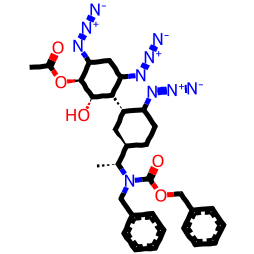 CC(=O)O[C@H]1C(N=[N+]=[N-])CC(N=[N+]=[N-])C([C@H]2C[C@H]([C@@H](C)N(Cc3ccccc3)C(=O)OCc3ccccc3)CCC2N=[N+]=[N-])[C@@H]1O